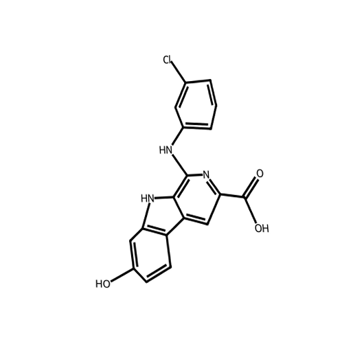 O=C(O)c1cc2c([nH]c3cc(O)ccc32)c(Nc2cccc(Cl)c2)n1